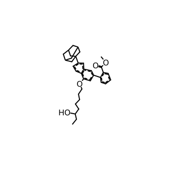 CCC(O)CCCCCOc1cc(-c2ccccc2C(=O)OC)cc2cc(C34CC5CC(CC(C5)C3)C4)ccc12